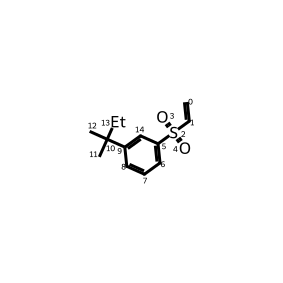 C=CS(=O)(=O)c1cccc(C(C)(C)CC)c1